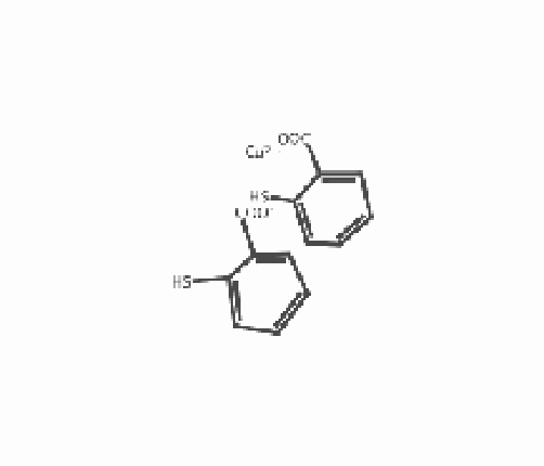 O=C([O-])c1ccccc1S.O=C([O-])c1ccccc1S.[Cu+2]